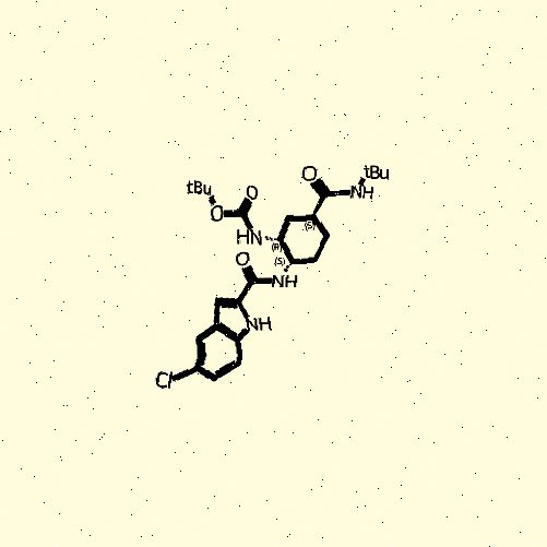 CC(C)(C)NC(=O)[C@H]1CC[C@H](NC(=O)c2cc3cc(Cl)ccc3[nH]2)[C@H](NC(=O)OC(C)(C)C)C1